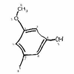 COc1cc(O)cc(I)c1